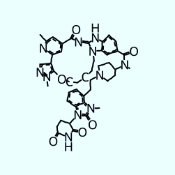 Cc1cc2cc(n1)-c1cnn(C)c1OCCCCCN1/C(=N/C2=O)Nc2ccc(C(=O)N(C)C3CCN(CCc4cccc5c4n(C)c(=O)n5C4CCC(=O)NC4=O)CC3)cc21